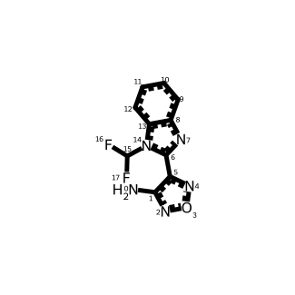 Nc1nonc1-c1nc2ccccc2n1C(F)F